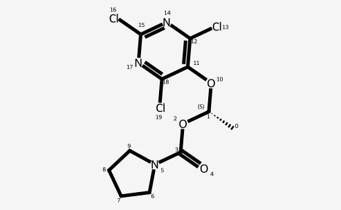 C[C@H](OC(=O)N1CCCC1)Oc1c(Cl)nc(Cl)nc1Cl